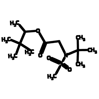 CC(OC(=O)CN(C(C)(C)C)S(C)(=O)=O)C(C)(C)C